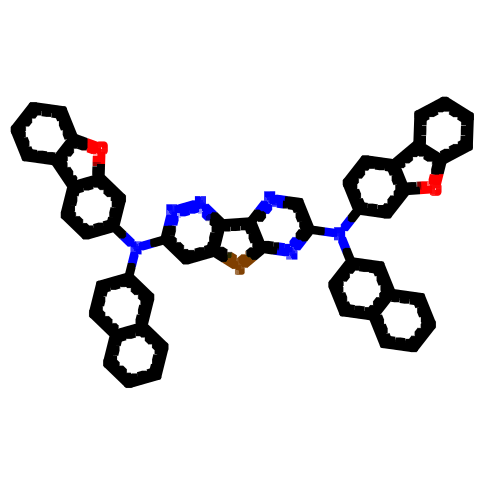 c1ccc2cc(N(c3ccc4c(c3)oc3ccccc34)c3cc4sc5nc(N(c6ccc7ccccc7c6)c6ccc7c(c6)oc6ccccc67)cnc5c4nn3)ccc2c1